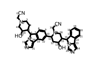 N#CCN1CCC(C2c3ccc(C4CC(O)C(C5c6ccccc6-c6cncn65)CN4CC#N)cc3-c3cncn32)C(O)C1